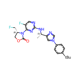 C[C@H](Nc1ncc(F)c(N2C(=O)OC[C@@H]2CF)n1)c1cn(-c2ccc(C(C)(C)C)cc2)cn1